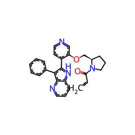 C=CC(=O)N1CCC[C@@H]1COc1cnccc1-c1[nH]c2cccnc2c1-c1ccccc1